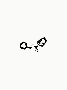 O=C(OCc1ccccc1)N1CC2C=CC(C1)N2